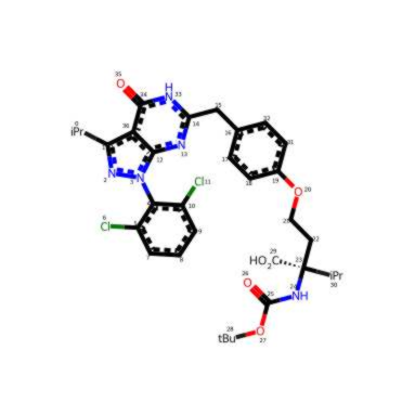 CC(C)c1nn(-c2c(Cl)cccc2Cl)c2nc(Cc3ccc(OCC[C@@](NC(=O)OC(C)(C)C)(C(=O)O)C(C)C)cc3)[nH]c(=O)c12